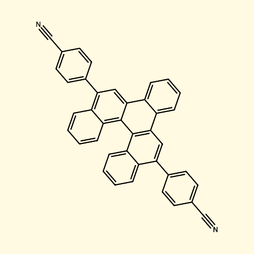 N#Cc1ccc(-c2cc3c4ccccc4c4cc(-c5ccc(C#N)cc5)c5ccccc5c4c3c3ccccc23)cc1